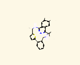 CNCc1ccccc1-c1ccc([C@@H](C)Nc2nnc(C(C)C)c3cc(C)c(C)cc23)s1